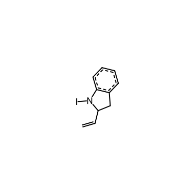 C=CC1Cc2ccccc2N1I